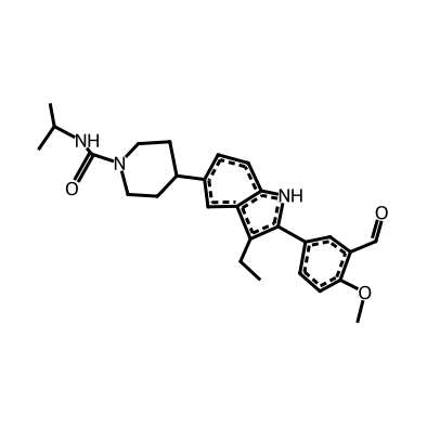 CCc1c(-c2ccc(OC)c(C=O)c2)[nH]c2ccc(C3CCN(C(=O)NC(C)C)CC3)cc12